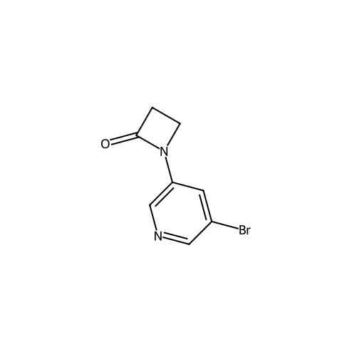 O=C1CCN1c1cncc(Br)c1